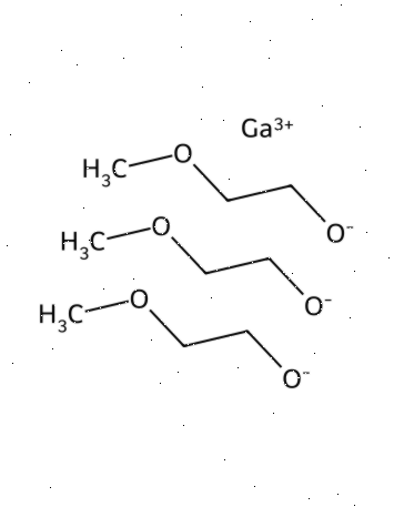 COCC[O-].COCC[O-].COCC[O-].[Ga+3]